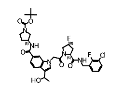 CC(O)c1cn(CC(=O)N2C[C@H](F)C[C@H]2C(=O)NCc2cccc(Cl)c2F)c2cc(C(=O)N[C@H]3CCN(C(=O)OC(C)(C)C)C3)ccc12